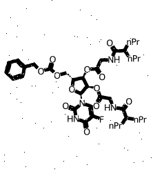 CCCC(CCC)C(=O)NCC(=O)O[C@@H]1[C@H](OC(=O)CNC(=O)C(CCC)CCC)[C@@H](COC(=O)OCc2ccccc2)O[C@H]1n1cc(F)c(=O)[nH]c1=O